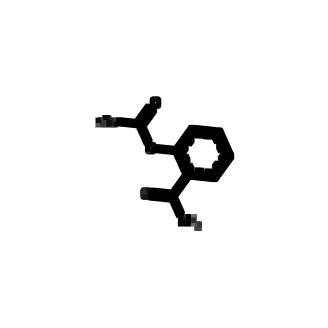 CCCCC(=O)Oc1ccccc1C(N)=O